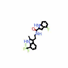 Cc1[nH]c2c(C(F)(F)F)cccc2c1CCNC(=O)c1cc2c(F)cccc2[nH]1